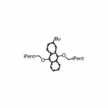 CCCC(C)COc1c2ccccc2c(OCC(C)CCC)c2cc(C(C)CC)ccc12